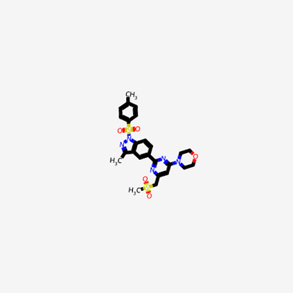 Cc1ccc(S(=O)(=O)n2nc(C)c3cc(-c4nc(CS(C)(=O)=O)cc(N5CCOCC5)n4)ccc32)cc1